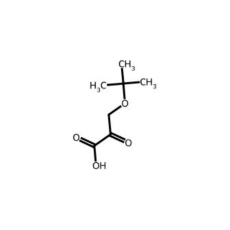 CC(C)(C)OCC(=O)C(=O)O